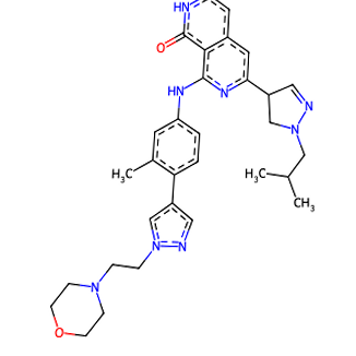 Cc1cc(Nc2nc(C3C=NN(CC(C)C)C3)cc3cc[nH]c(=O)c23)ccc1-c1cnn(CCN2CCOCC2)c1